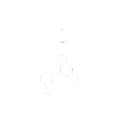 CC(C)(C)OC(=O)Nc1nc2c(-c3cccc([N+](=O)[O-])c3)cc(CO)cc2s1